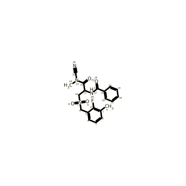 Cc1cccc(CS(=O)(=O)CC(NC(=O)c2ccccc2)C(=O)N(C)C#N)c1F